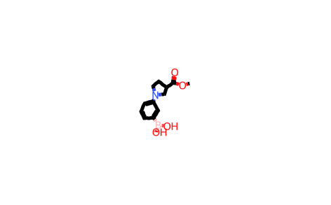 COC(=O)C1CCN(c2cccc(B(O)O)c2)C1